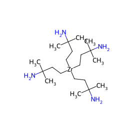 CC(C)(N)C[CH2][Zr]([CH2]CC(C)(C)N)([CH2]CC(C)(C)N)[CH2]CC(C)(C)N